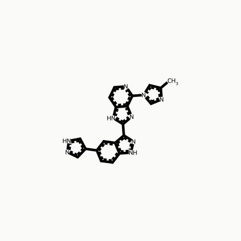 Cc1cn(-c2nccc3[nH]c(-c4n[nH]c5ccc(-c6cn[nH]c6)cc45)nc23)cn1